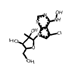 CC1(O)C(O)C(CO)OC1n1cc(Cl)c2c(NO)ncnc21